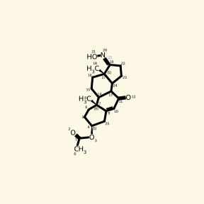 CC(=O)O[C@H]1CC[C@@]2(C)C(=CC(=O)C3C2CC[C@]2(C)/C(=N\O)CCC32)C1